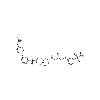 CCNCc1ccc(-c2cccc(S(=O)(=O)N3CCC4(CC3)CC(NC[C@H](O)COc3cccc(S(=O)(=O)NC)c3)CO4)c2)cc1